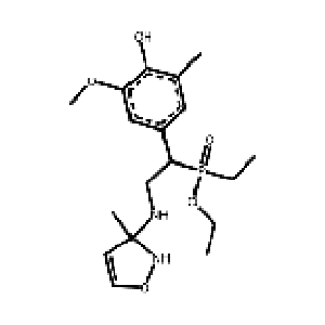 CCOP(=O)(CC)C(CNC1(C)C=CON1)c1cc(C)c(O)c(OC)c1